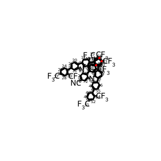 N#Cc1cc(-n2c3cc(-c4ccc(C(F)(F)F)cc4C(F)(F)F)ccc3c3ccc(-c4ccc(C(F)(F)F)cc4C(F)(F)F)cc32)c(-c2cc(C(F)(F)F)cc(C(F)(F)F)c2)c(-n2c3cc(-c4ccc(C(F)(F)F)cc4C(F)(F)F)ccc3c3ccc(-c4ccc(C(F)(F)F)cc4C(F)(F)F)cc32)c1